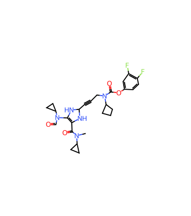 CN(C(=O)C1=C(N(C=O)C2CC2)NC(C#CCN(C(=O)Oc2ccc(F)c(F)c2)C2CCC2)N1)C1CC1